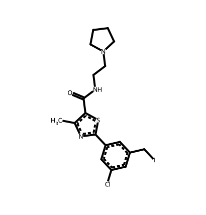 Cc1nc(-c2cc(Cl)cc(CI)c2)sc1C(=O)NCCN1CCCC1